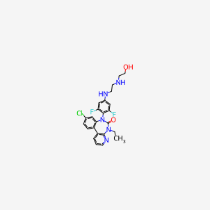 CCN1C(=O)N(c2c(F)cc(NCCNCCO)cc2F)c2cc(Cl)ccc2-c2cccnc21